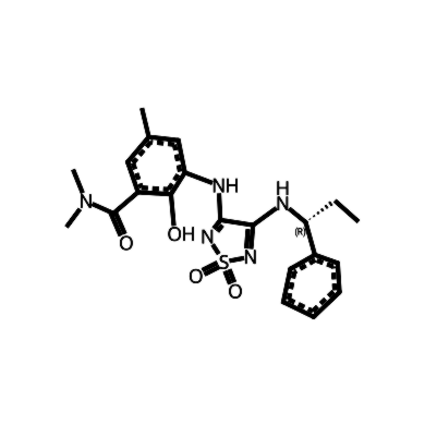 CC[C@@H](NC1=NS(=O)(=O)N=C1Nc1cc(C)cc(C(=O)N(C)C)c1O)c1ccccc1